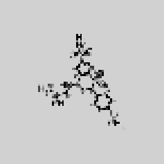 COc1ccc(C2CC(NCC(C)C)c3cc(S(N)(=O)=O)sc3S2(=O)=O)cc1